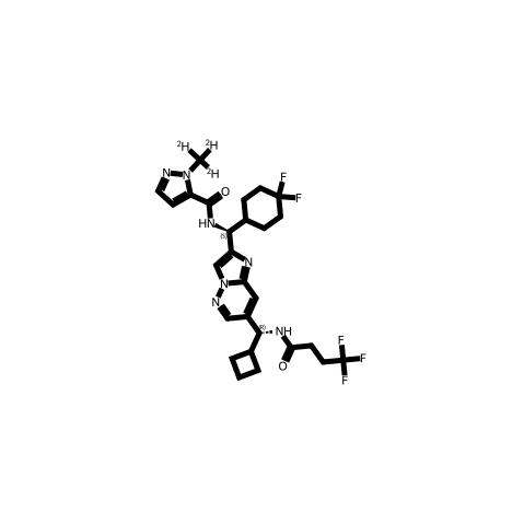 [2H]C([2H])([2H])n1nccc1C(=O)N[C@H](c1cn2ncc([C@H](NC(=O)CCC(F)(F)F)C3CCC3)cc2n1)C1CCC(F)(F)CC1